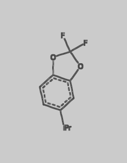 CC(C)c1ccc2c(c1)OC(F)(F)O2